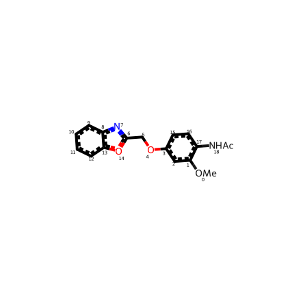 COc1cc(OCc2nc3ccccc3o2)ccc1NC(C)=O